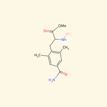 BNC(Cc1c(C)cc(C(N)=O)cc1C)C(=O)OC